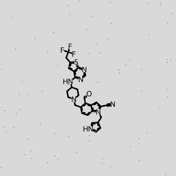 N#Cc1cc2c(C=O)c(CN3CCC(Nc4ncnc5sc(CC(F)(F)F)cc45)CC3)ccc2n1Cc1cc[nH]c1